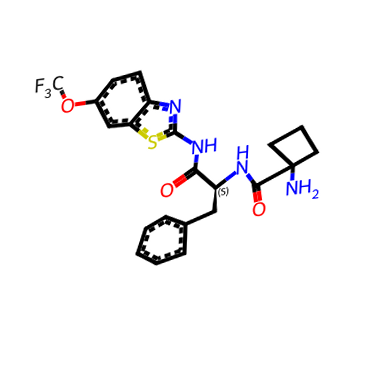 NC1(C(=O)N[C@@H](Cc2ccccc2)C(=O)Nc2nc3ccc(OC(F)(F)F)cc3s2)CCC1